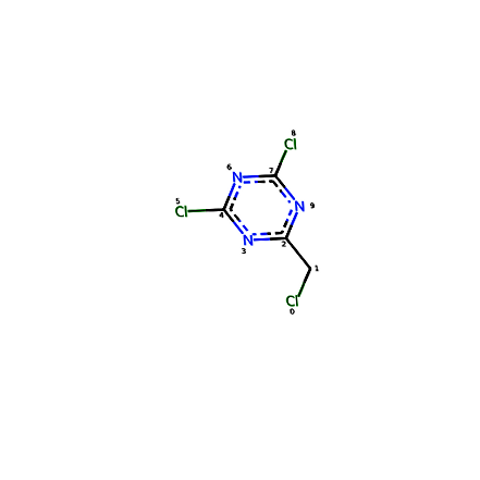 ClCc1nc(Cl)nc(Cl)n1